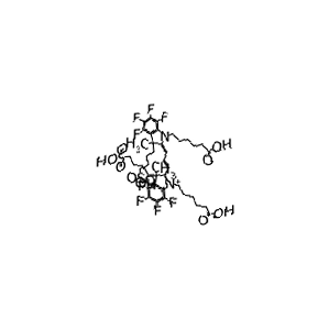 CC1(CCCCS(=O)(=O)O)C(/C=C/C=C2/N(CCCCCC(=O)O)c3c(F)c(F)c(F)c(F)c3C2(C)CCCCS(=O)(=O)O)=[N+](CCCCCC(=O)O)c2c(F)c(F)c(F)c(F)c21